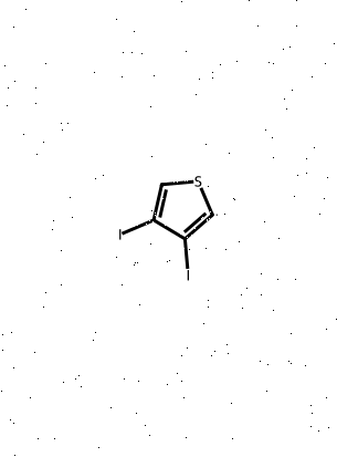 Ic1[c]scc1I